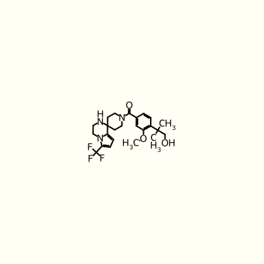 COc1cc(C(=O)N2CCC3(CC2)NCCn2c(C(F)(F)F)ccc23)ccc1C(C)(C)CO